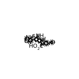 Cc1c(-c2cc3cc(N(C(=O)O)[C@@H]4CCN(C5COC5)C[C@H]4F)ncc3c(N)c2F)cnc2c1NCCO2